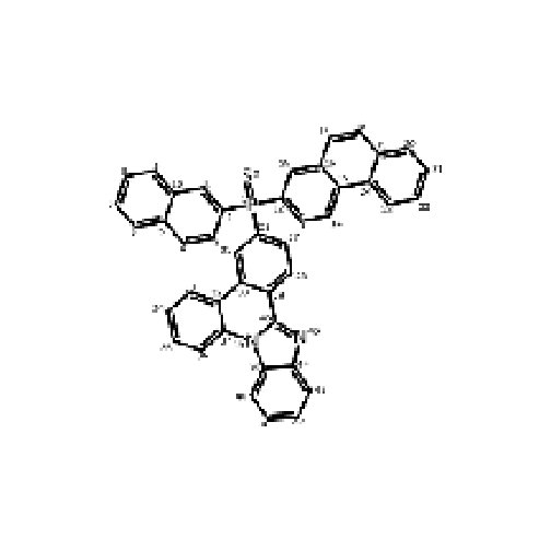 S=P(c1ccc2ccccc2c1)(c1ccc2c(ccc3ccccc32)c1)c1ccc2c(c1)c1ccccc1n1c3ccccc3nc21